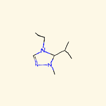 CCN1C=NN(C)C1C(C)C